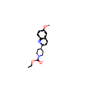 CCOC(=O)N1CCC(c2ccc3cc(OC)ccc3n2)CC1